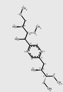 COC[C@H](O)[C@H](OC)C(O)c1cnc(C[C@H](O)[C@@H](CO)OC)cn1